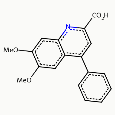 COc1cc2nc(C(=O)O)cc(-c3ccccc3)c2cc1OC